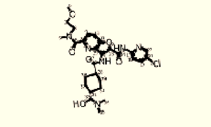 COCCN(C)C(=O)c1ccc2oc(C(=O)Nc3ccc(Cl)cn3)c(NC(=O)[C@H]3CC[C@H](C(O)N(C)C)CC3)c2n1